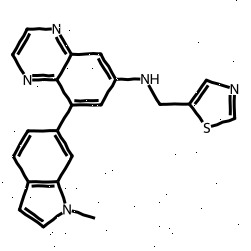 Cn1ccc2ccc(-c3cc(NCc4cncs4)cc4nccnc34)cc21